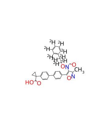 [2H]c1c([2H])c([2H])c(C([2H])([2H])C([2H])([2H])ON(C=O)c2c(C)noc2-c2ccc(-c3ccc(C4(C(=O)O)CC4)cc3)cc2)c([2H])c1[2H]